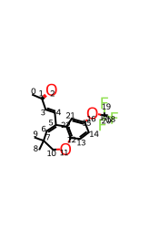 CC(=O)C=CC1=CC(C)(C)COc2ccc(OC(F)(F)F)cc21